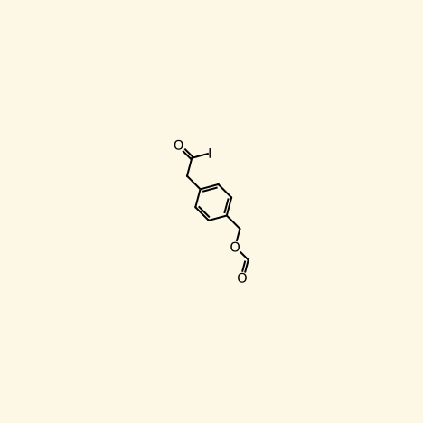 O=COCc1ccc(CC(=O)I)cc1